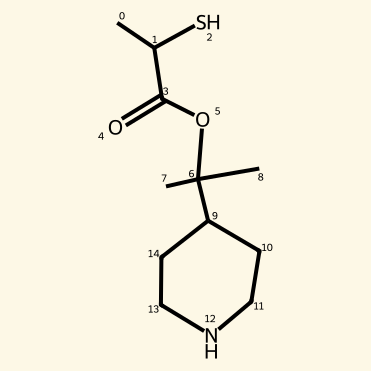 CC(S)C(=O)OC(C)(C)C1CCNCC1